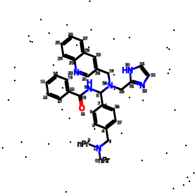 CCCN(CCC)Cc1ccc(C(NC(=O)c2ccccc2)N(Cc2cnc3ccccc3c2)Cc2ncc[nH]2)cc1